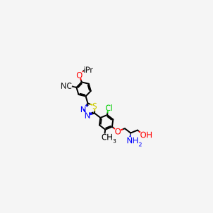 Cc1cc(-c2nnc(-c3ccc(OC(C)C)c(C#N)c3)s2)c(Cl)cc1OC[C@H](N)CO